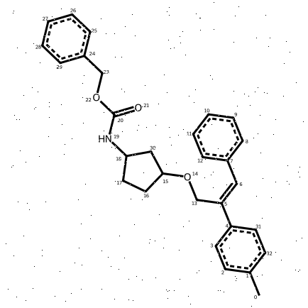 Cc1ccc(C(=Cc2ccccc2)COC2CCC(NC(=O)OCc3ccccc3)C2)cc1